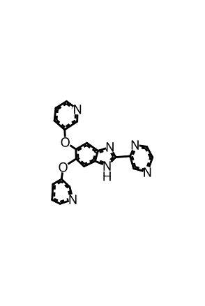 c1cncc(Oc2cc3nc(-c4cnccn4)[nH]c3cc2Oc2cccnc2)c1